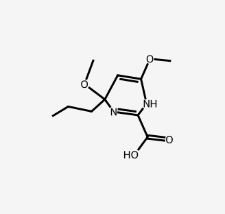 CCCC1(OC)C=C(OC)NC(C(=O)O)=N1